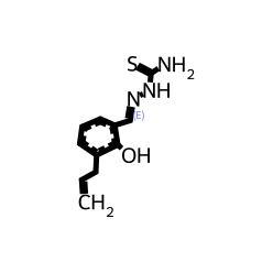 C=CCc1cccc(/C=N/NC(N)=S)c1O